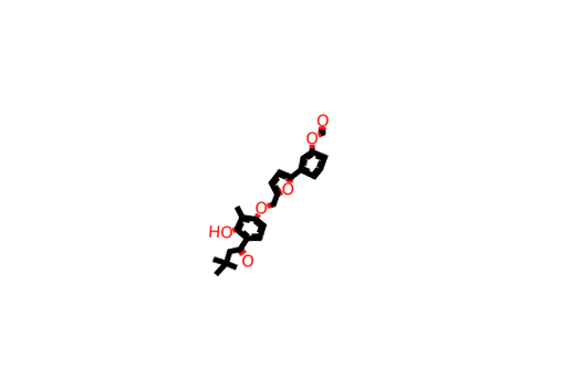 Cc1c(OCc2ccc(-c3cccc(OC=O)c3)o2)ccc(C(=O)CC(C)(C)C)c1O